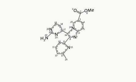 COC(=O)c1ccc2nc(-c3cccc(C)n3)c(-c3ccnc(N)n3)n2c1